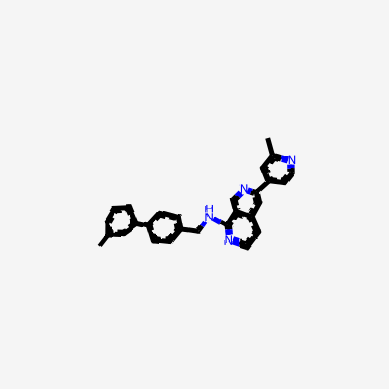 Cc1cccc(-c2ccc(CNc3nccc4cc(-c5ccnc(C)c5)ncc34)cc2)c1